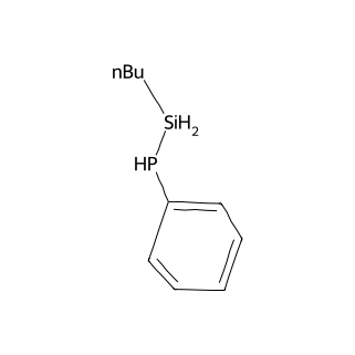 CCCC[SiH2]Pc1ccccc1